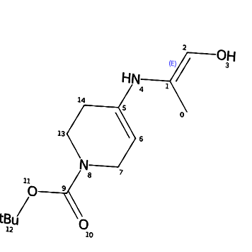 C/C(=C\O)NC1=CCN(C(=O)OC(C)(C)C)CC1